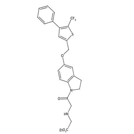 CCOC(=O)CNCC(=O)N1CCc2cc(OCc3cc(-c4ccccc4)c(C(F)(F)F)s3)ccc21